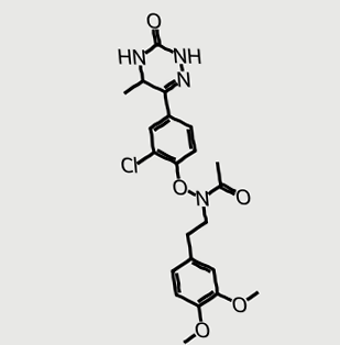 COc1ccc(CCN(Oc2ccc(C3=NNC(=O)NC3C)cc2Cl)C(C)=O)cc1OC